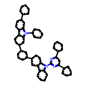 c1ccc(-c2ccc3c4ccc(-c5cccc(-c6ccc7c(c6)c6ccccc6n7-c6nc(-c7ccccc7)cc(-c7ccccc7)n6)c5)cc4n(-c4ccccc4)c3c2)cc1